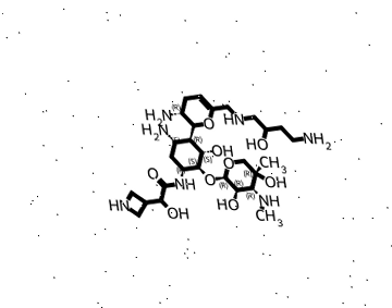 CN[C@@H]1[C@@H](O)[C@@H](O[C@@H]2[C@@H](O)[C@H](C3OC(CNCC(O)CCN)=CC[C@H]3N)[C@@H](N)C[C@H]2NC(=O)C(O)C2CNC2)OC[C@]1(C)O